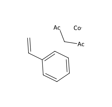 C=Cc1ccccc1.CC(=O)CC(C)=O.[Co]